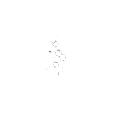 C[C@@H]1C(=O)N(C)Cc2c(-c3cccc4nc(-c5cnn(C)c5)c(C#N)cc34)nc(C3CC3)n21